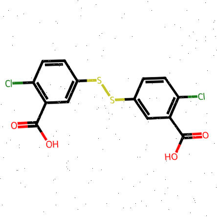 O=C(O)c1cc(SSc2ccc(Cl)c(C(=O)O)c2)ccc1Cl